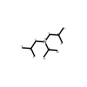 CC(C)CN(CC(C)C)C(C)C